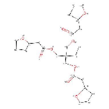 CCC(COC(=O)CC1CCCO1)(COC(=O)CC1CCCO1)COC(=O)CC1CCCO1